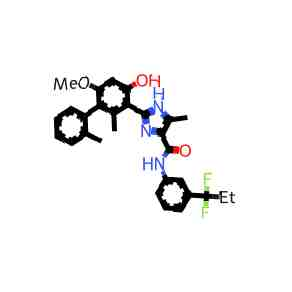 CCC(F)(F)c1cccc(NC(=O)c2nc(-c3c(O)cc(OC)c(-c4ccccc4C)c3C)[nH]c2C)c1